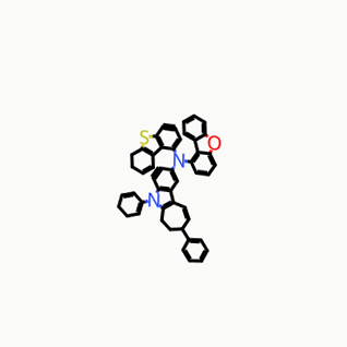 c1cc(N(c2c#cc3c(c2)c2c(n3C3=CCCC=C3)CCC(c3ccccc3)C=C2)c2cccc3oc4ccccc4c23)c2c3c(sc2c#1)CCC=C3